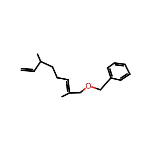 C=CC(C)CCC=C(C)COCc1ccccc1